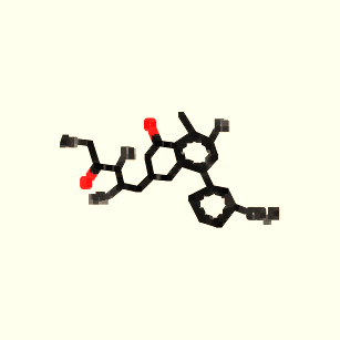 CCCC(CC1CC(=O)c2c(C)c(CC)cc(-c3cccc(C(=O)O)c3)c2C1)C(CC)C(=O)CC(C)=O